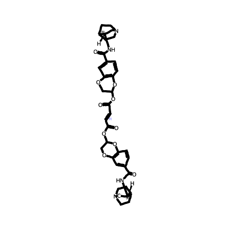 O=C(/C=C/C(=O)OC1COc2cc(C(=O)N[C@H]3CN4CCC3CC4)ccc2O1)OC1COc2cc(C(=O)N[C@H]3CN4CCC3CC4)ccc2O1